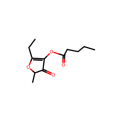 CCCCC(=O)OC1=C(CC)OC(C)C1=O